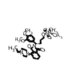 CCN1CCN(c2cccc3c2C(=O)N([C@H](CCCOS(=O)(=O)N(C)C)c2ccc(OC)c(OC)c2)C3=O)CC1